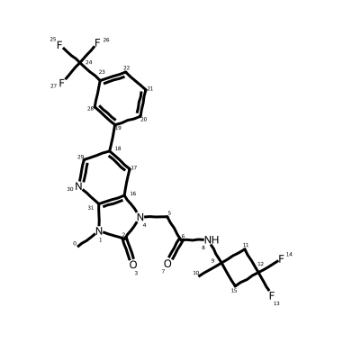 Cn1c(=O)n(CC(=O)NC2(C)CC(F)(F)C2)c2cc(-c3cccc(C(F)(F)F)c3)cnc21